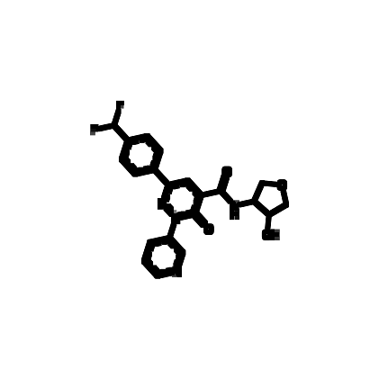 O=C(NC1COCC1O)c1cc(-c2ccc(C(F)F)cc2)nn(-c2cccnc2)c1=O